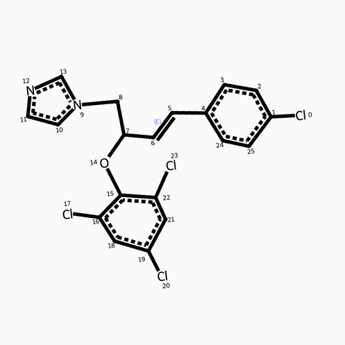 Clc1ccc(/C=C/C(Cn2ccnc2)Oc2c(Cl)cc(Cl)cc2Cl)cc1